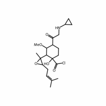 COC1C(C(=O)CNC2CC2)CCC(O)(C(=O)Cl)C1C1(C)OC1CC=C(C)C